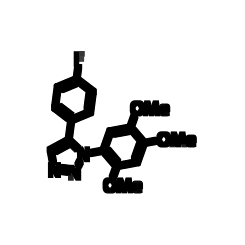 COc1cc(OC)c(-n2nncc2-c2ccc(F)cc2)cc1OC